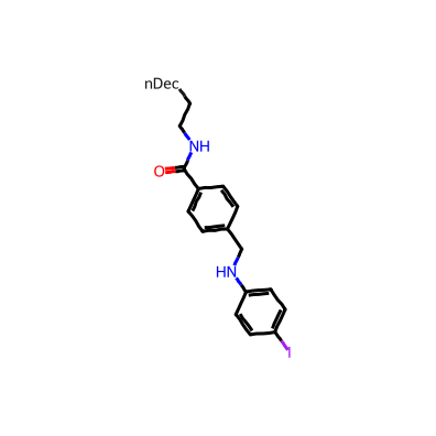 CCCCCCCCCCCCNC(=O)c1ccc(CNc2ccc(I)cc2)cc1